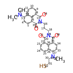 CN(C)c1ccc2c3c(cccc13)C(=O)N(CCCN1C(=O)c3cccc4c(N(C)CCS)ccc(c34)C1=O)C2=O